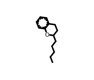 CCCCCC1CCc2ccccc2O1